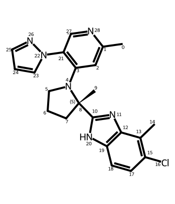 Cc1cc(N2CCC[C@@]2(C)c2nc3c(C)c(Cl)ccc3[nH]2)c(-n2cccn2)[c]n1